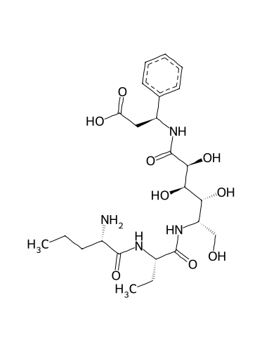 CCC[C@H](N)C(=O)N[C@@H](CC)C(=O)N[C@@H](CO)[C@@H](O)[C@@H](O)[C@H](O)C(=O)N[C@@H](CC(=O)O)c1ccccc1